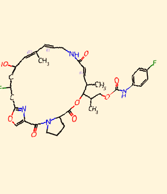 CC1=C\C(O)CC(F)Cc2nc(co2)C(=O)N2CCCC2C(=O)OC(C(C)COC(=O)Nc2ccc(F)cc2)C(C)/C=C/C(=O)NC\C=C\1